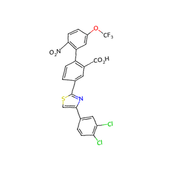 O=C(O)c1cc(-c2nc(-c3ccc(Cl)c(Cl)c3)cs2)ccc1-c1cc(OC(F)(F)F)ccc1[N+](=O)[O-]